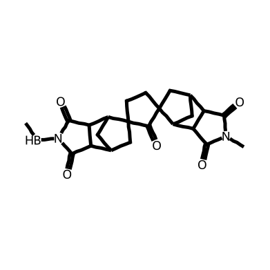 CBN1C(=O)C2C3CC(C2C1=O)C1(CCC2(CC4CC2C2C(=O)N(C)C(=O)C42)C1=O)C3